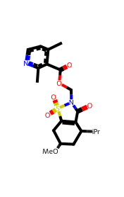 COC1CC2=C(C(=O)N(COC(=O)c3c(C)ccnc3C)S2(=O)=O)C(C(C)C)C1